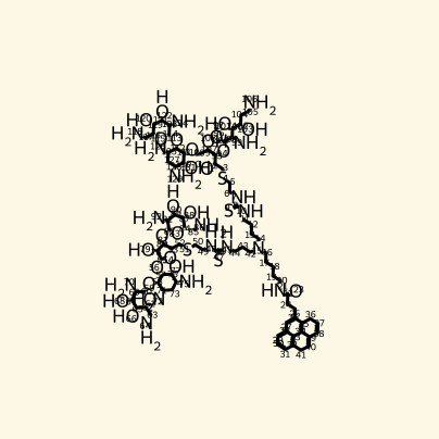 COC(CSCCNC(=S)NCCCCN(CCCCCNC(=O)CCc1cc2cccc3c2c2c1CC=CC2=CC3)CCCNC(=S)NCCSCC1OC(OC2[C@H](O[C@@H]3OC(CN)[C@@H](O)[C@H](O)C3N)C(N)C[C@@H](N)[C@H]2O)[C@@H](O)[C@H]1O[C@H]1O[C@@H](CN)[C@@H](O)C(O)C1N)[C@H](O[C@@H](OC)C(N)C(O)[C@H](O)CCN)[C@H](O)COC1[C@H](O[C@@H]2OC(CN)[C@@H](O)[C@H](O)C2N)C(N)C[C@@H](N)[C@H]1O